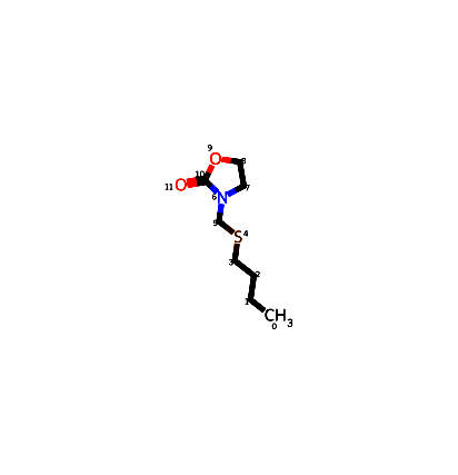 CCCCSCN1CCOC1=O